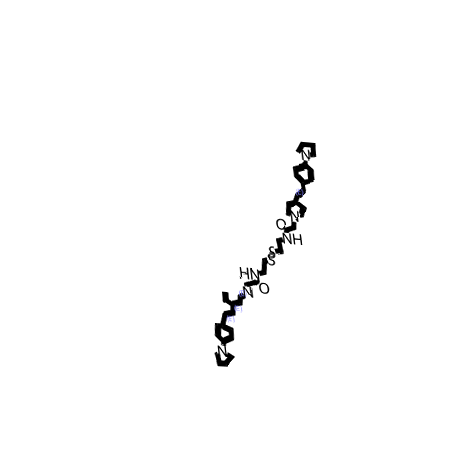 C=CC(/C=C/c1ccc(N2CCCC2)cc1)=C\C=N\CC(=O)NCCSSCCNC(=O)C[n+]1ccc(/C=C/c2ccc(N3CCCC3)cc2)cc1